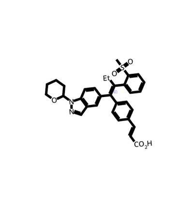 CC/C(=C(/c1ccc(C=CC(=O)O)cc1)c1ccc2c(cnn2C2CCCCO2)c1)c1ccccc1S(C)(=O)=O